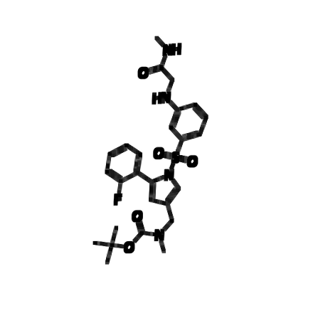 CNC(=O)CNc1cccc(S(=O)(=O)n2cc(CN(C)C(=O)OC(C)(C)C)cc2-c2ccccc2F)c1